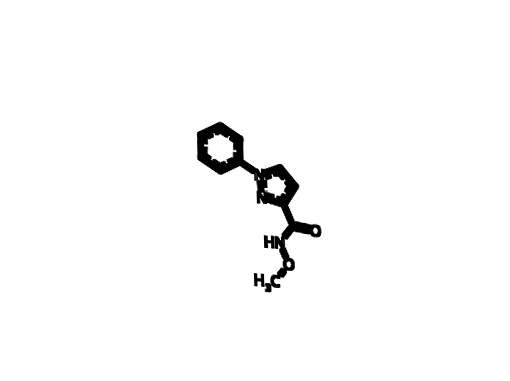 CONC(=O)c1ccn(-c2ccccc2)n1